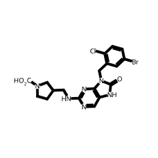 O=C(O)N1CCC(CNc2ncc3[nH]c(=O)n(Cc4cc(Br)ccc4Cl)c3n2)C1